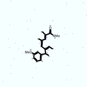 C/C=C(/C=C(C)\C=C(/C)C(=O)NC)C(C)c1cccc(OC)c1